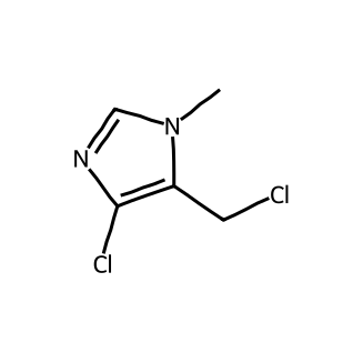 Cn1cnc(Cl)c1CCl